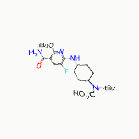 CC(C)COc1nc(N[C@H]2CC[C@H](N(C(=O)O)C(C)(C)C)CC2)c(F)cc1C(N)=O